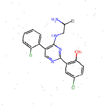 CCC(N)CNc1nc(-c2cc(Cl)ccc2O)ncc1-c1ccccc1Cl